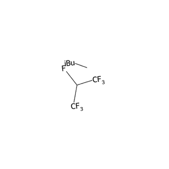 CCC(C)C.FC(C(F)(F)F)C(F)(F)F